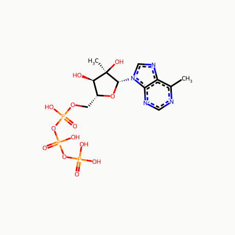 Cc1ncnc2c1ncn2[C@@H]1O[C@H](COP(=O)(O)OP(=O)(O)OP(=O)(O)O)[C@@H](O)[C@@]1(C)O